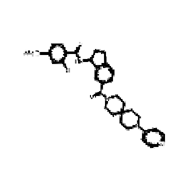 COc1ccc(C(=O)NC2CCc3ccc(C(=O)N4CCC5(CC4)CCN(c4ccncc4)CC5)cc32)c(Cl)c1